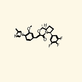 COc1cc(C=C2O[C@H](C)[C@H]3CC[C@@H](c4cc(F)c(F)c(F)c4)N3C2=O)ccc1-n1cnc(C)c1